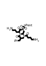 CCCCCS(=O)(=O)N1CC2N(C(=O)CCCN)CC(CC(C)C)C(=O)N2C(CCCN)C1=O